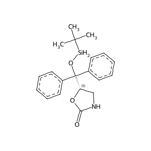 CC(C)(C)[SiH2]OC(c1ccccc1)(c1ccccc1)[C@@H]1CNC(=O)O1